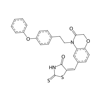 O=C1NC(=S)SC1=Cc1ccc2c(c1)N(CCc1ccc(Oc3ccccc3)cc1)C(=O)CO2